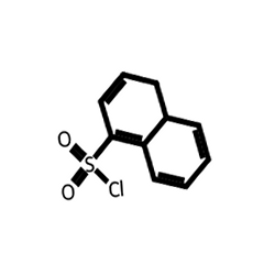 O=S(=O)(Cl)C1=C2C=CC=CC2CC=C1